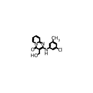 Cc1cc(Cl)cc(Nc2nc3ccccn3c(=O)c2CO)c1